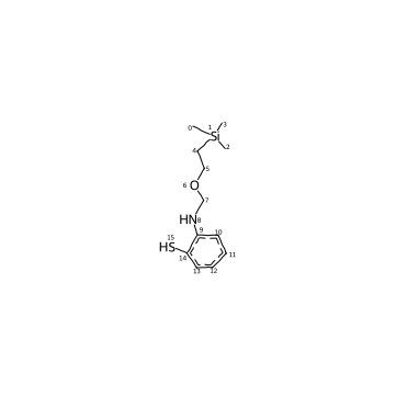 C[Si](C)(C)CCOCNc1ccccc1S